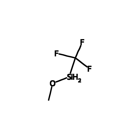 CO[SiH2]C(F)(F)F